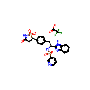 O=C(O)C(F)(F)F.O=C1CC(c2ccc(C[C@H](NS(=O)(=O)c3cccnc3)c3nc4ccccc4[nH]3)cc2)S(=O)(=O)N1